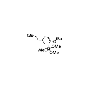 CO[Si](OC)(OC)[C@@H]1C[C@H](CCC(C)(C)C)CC=C1OC(C)(C)C